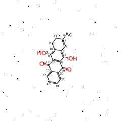 CC(=O)C1=Cc2c(O)c3c(c(O)c2CC1)C(=O)c1ccccc1C3=O